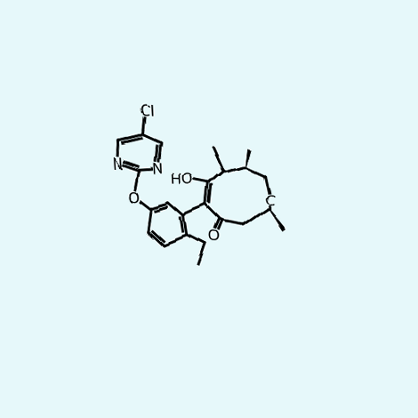 CCc1ccc(Oc2ncc(Cl)cn2)cc1/C1=C(\O)C(C)[C@@H](C)CC[C@@H](C)CC1=O